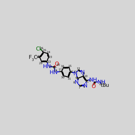 CC(C)(C)NC(=O)Nc1ncnc2c1ncn2-c1ccc(NC(=O)Nc2ccc(Cl)c(C(F)(F)F)c2)cc1